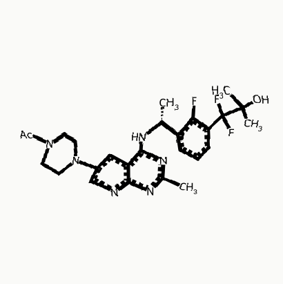 CC(=O)N1CCN(c2cnc3nc(C)nc(N[C@H](C)c4cccc(C(F)(F)C(C)(C)O)c4F)c3c2)CC1